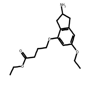 CCOC(=O)CCCOc1cc(OCC)cc2c1CC(N)C2